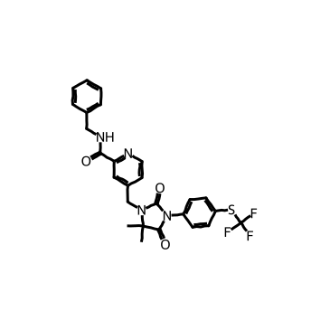 CC1(C)C(=O)N(c2ccc(SC(F)(F)F)cc2)C(=O)N1Cc1ccnc(C(=O)NCc2ccccc2)c1